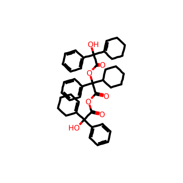 O=C(OC(=O)C(OC(=O)C(O)(C1=CCCCC1)c1ccccc1)(c1ccccc1)C1CCCCC1)C(O)(C1=CCCCC1)c1ccccc1